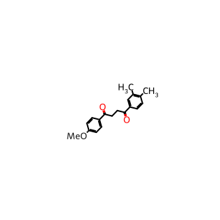 COc1ccc(C(=O)CCC(=O)c2ccc(C)c(C)c2)cc1